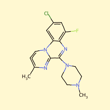 CC1=C=CN2C(=N1)C(N1CCN(C)CC1)=Nc1c(F)cc(Cl)cc12